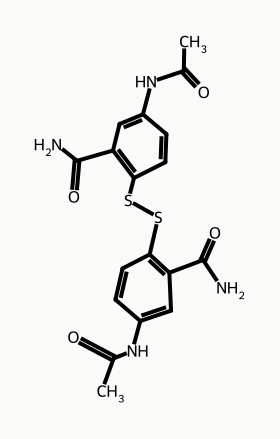 CC(=O)Nc1ccc(SSc2ccc(NC(C)=O)cc2C(N)=O)c(C(N)=O)c1